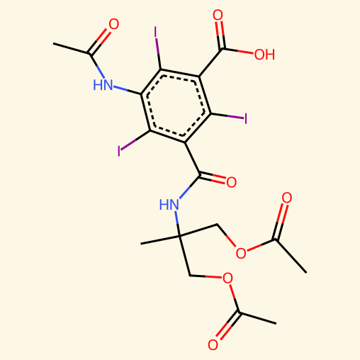 CC(=O)Nc1c(I)c(C(=O)O)c(I)c(C(=O)NC(C)(COC(C)=O)COC(C)=O)c1I